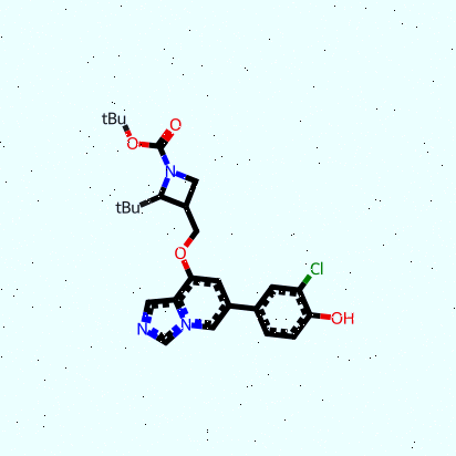 CC(C)(C)OC(=O)N1CC(COc2cc(-c3ccc(O)c(Cl)c3)cn3cncc23)C1C(C)(C)C